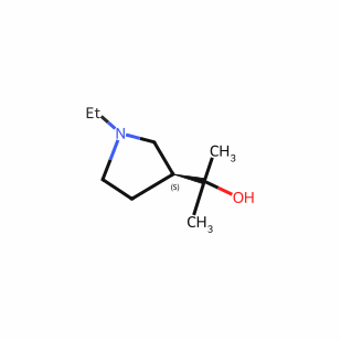 CCN1CC[C@H](C(C)(C)O)C1